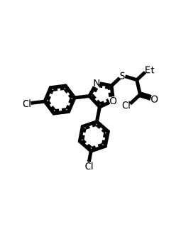 CCC(Sc1nc(-c2ccc(Cl)cc2)c(-c2ccc(Cl)cc2)o1)C(=O)Cl